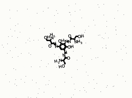 NC(CO)C(=O)N=Nc1cc(N=NC(=O)C(N)CO)c(O)c(N=NC(=O)C(N)CO)c1O